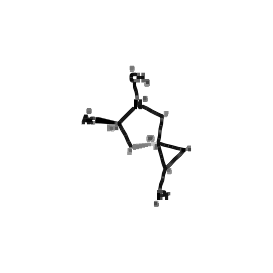 CC(=O)[C@@H]1C[C@@]2(CC2C(C)C)CN1C